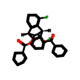 O=C(OC1C(OC(=O)c2ccccc2)[C@H]2c3c(F)cccc3[C@H]1c1cccc(F)c12)c1ccccc1